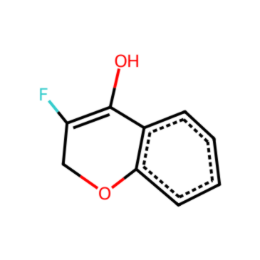 OC1=C(F)COc2ccccc21